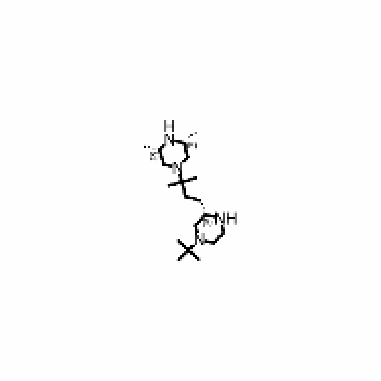 C[C@@H]1CN(C(C)(C)CC[C@H]2CN(C(C)(C)C)CCN2)C[C@H](C)N1